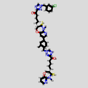 Cc1cc(-c2cnc3c(c2)OC[C@H](CCCCC(=O)c2ncn(Cc4cccc(Cl)c4)n2)C(=S)N3C)ccc1Cn1cnc(C(=O)CCCC[C@H]2COc3cccnc3N(C)C2=S)n1